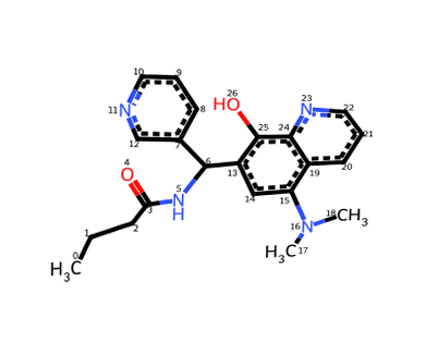 CCCC(=O)NC(c1cccnc1)c1cc(N(C)C)c2cccnc2c1O